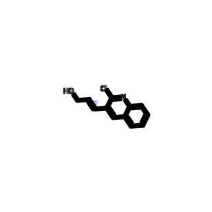 OC/C=C/c1cc2ccccc2nc1Cl